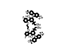 CC(C)(C)CC(C)(C)c1cc(-c2cc(F)ccc2OCCCOc2ccc(F)cc2-c2cc(C(C)(C)CC(C)(C)C)cc(-n3c4c[c]([Ge]([CH3])([CH3])[CH3])ccc4c4cc[c]([Ge]([CH3])([CH3])[CH3])cc43)c2O)c(O)c(-n2c3c[c]([Ge]([CH3])([CH3])[CH3])ccc3c3cc[c]([Ge]([CH3])([CH3])[CH3])cc32)c1